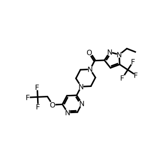 CCn1nc(C(=O)N2CCN(c3cc(OCC(F)(F)F)ncn3)CC2)cc1C(F)(F)F